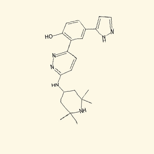 CC1(C)CC(Nc2ccc(-c3cc(-c4ccn[nH]4)ccc3O)nn2)CC(C)(C)N1